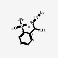 CC(N=[N+]=[N-])c1ccccc1S(=O)(=O)C(C)C